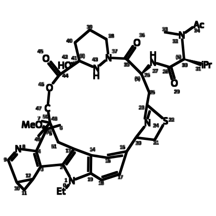 CCn1c(C2=C([C@H](C)OC)N=CC3CC23)c2c3cc(ccc31)C1CSC(=N1)C[C@H](NC(=O)[C@H](C(C)C)N(C)C(C)=O)C(=O)N1CCC[C@@](O)(N1)C(=O)OCC(C)(C)C2